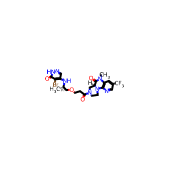 C[C@@H](COCCC(=O)N1CCN2c3ncc(C(F)(F)F)cc3N(C)C(=O)[C@@H]2C1)Nc1cn[nH]c(=O)c1Br